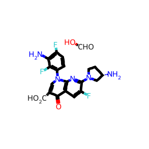 Nc1c(F)ccc(-n2cc(C(=O)O)c(=O)c3cc(F)c(N4CC[C@H](N)C4)nc32)c1F.O=CO